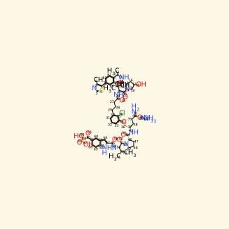 Cc1ncsc1-c1ccc([C@H](C)NC(=O)[C@@H]2C[C@@H](O)CN2C(=O)[C@@H](NC(=O)CCCc2cccc(OC[C@H](CCC(N)=O)NC(=O)[C@@H]3CCCN3C(=O)[C@@H](NC(=O)c3cc4cc(C(=O)P(=O)(O)O)ccc4[nH]3)C(C)C)c2Cl)C(C)(C)C)cc1.N.N